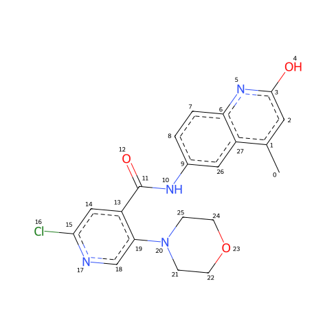 Cc1cc(O)nc2ccc(NC(=O)c3cc(Cl)ncc3N3CCOCC3)cc12